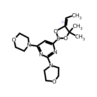 C/C=C1/OB(c2cc(N3CCOCC3)nc(N3CCOCC3)n2)OC1(C)C